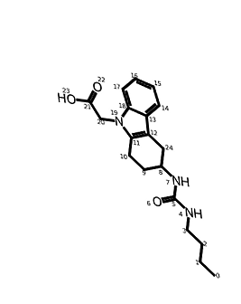 CCCCNC(=O)NC1CCc2c(c3ccccc3n2CC(=O)O)C1